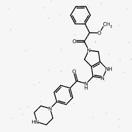 COC(C(=O)N1Cc2[nH]nc(NC(=O)c3ccc(N4CCNCC4)cc3)c2C1)c1ccccc1